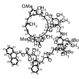 COc1cc2cc(c1Cl)N(C)C(=O)C[C@H](OC(=O)[C@H](C)N(C)C(=O)CCNC(=O)[C@@H](O[Si](C)(C)C(C)(C)C)C(O[Si](C)(C)C(C)(C)C)C(=O)NCCNC(=O)CCn1c(CN(C)N(C)C(=O)OCC3c4ccccc4-c4ccccc43)cc3ccccc31)[C@]1(C)OC1[C@H](C)[C@@H]1C[C@@](O)(NC(=O)O1)[C@H](OC)/C=C/C=C(\C)C2